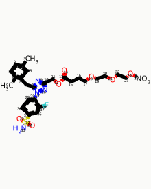 Cc1ccc(C)c(Cc2nc(COC(=O)CCCOCCOCCO[N+](=O)[O-])nn2-c2ccc(S(N)(=O)=O)cc2F)c1